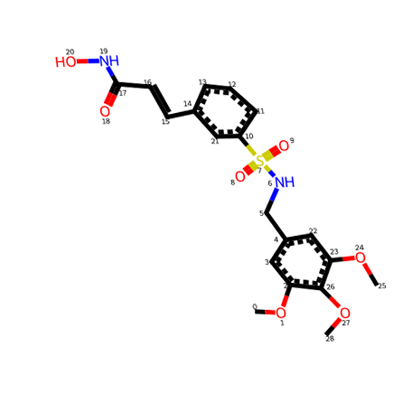 COc1cc(CNS(=O)(=O)c2cccc(C=CC(=O)NO)c2)cc(OC)c1OC